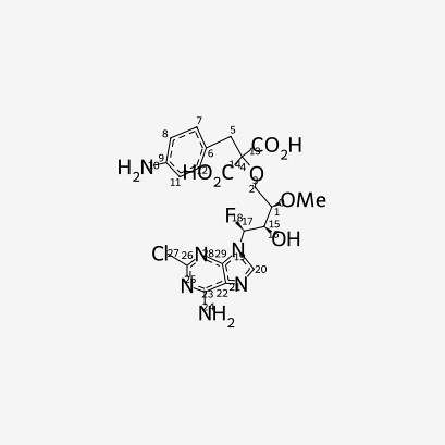 CO[C@H](COC(Cc1ccc(N)cc1)(C(=O)O)C(=O)O)[C@@H](O)[C@H](F)n1cnc2c(N)nc(Cl)nc21